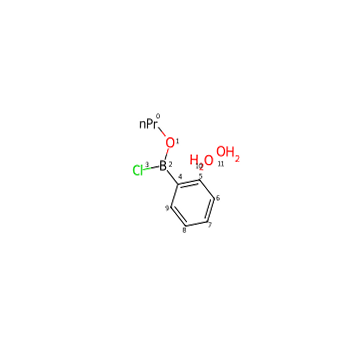 CCCOB(Cl)c1ccccc1.O.O